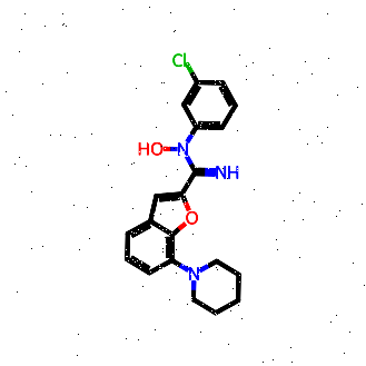 N=C(c1cc2cccc(N3CCCCC3)c2o1)N(O)c1cccc(Cl)c1